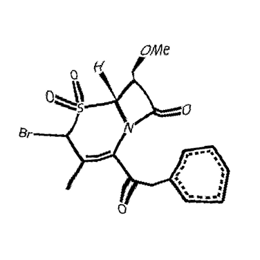 CO[C@H]1C(=O)N2C(C(=O)c3ccccc3)=C(C)C(Br)S(=O)(=O)[C@H]12